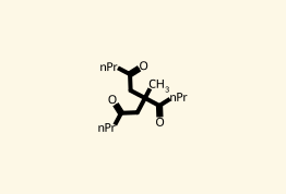 CCCC(=O)CC(C)(CC(=O)CCC)C(=O)CCC